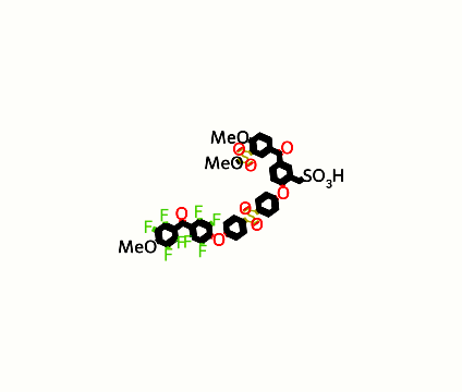 COc1ccc(C(=O)c2ccc(Oc3ccc(S(=O)(=O)c4ccc(Oc5c(F)c(F)c(C(=O)c6c(F)c(F)c(OC)c(F)c6F)c(F)c5F)cc4)cc3)c(CS(=O)(=O)O)c2)cc1S(=O)(=O)OC